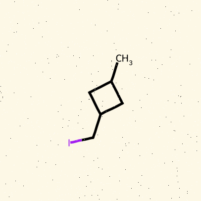 CC1CC(CI)C1